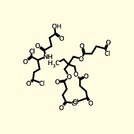 CCC(COC(=O)CCC(=O)Cl)(COC(=O)CCC(=O)Cl)COC(=O)CCC(=O)Cl.O=C(O)CCC(=O)NC(CCC(=O)Cl)C(=O)Cl